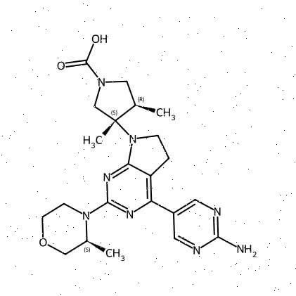 C[C@@H]1CN(C(=O)O)C[C@@]1(C)N1CCc2c(-c3cnc(N)nc3)nc(N3CCOC[C@@H]3C)nc21